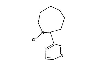 ClN1CCCCCCC1c1cccnc1